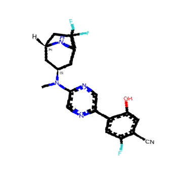 CN(c1cnc(-c2cc(F)c(C#N)cc2O)cn1)[C@@H]1CC2N[C@H](C1)CC2(F)F